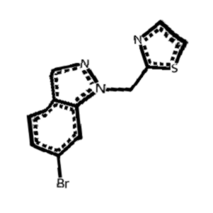 Brc1ccc2cnn(Cc3nccs3)c2c1